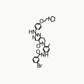 Cc1ccc(NC(=O)c2cccc(Br)c2)cc1N1CCc2nc(Nc3ccc(OCCN4CCCC4)cc3)ncc2C1=O